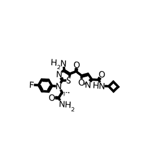 C[C@H](C(N)=O)N(c1ccc(F)cc1)c1nc(N)c(C(=O)c2cc(C(=O)NC3CCC3)no2)s1